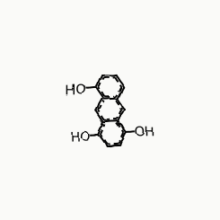 Oc1cccc2cc3c(O)ccc(O)c3cc12